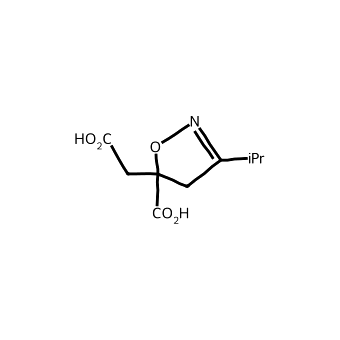 CC(C)C1=NOC(CC(=O)O)(C(=O)O)C1